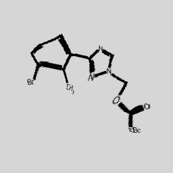 Cc1c(Br)cccc1-c1ncn(COC(=O)C(C)(C)C)n1